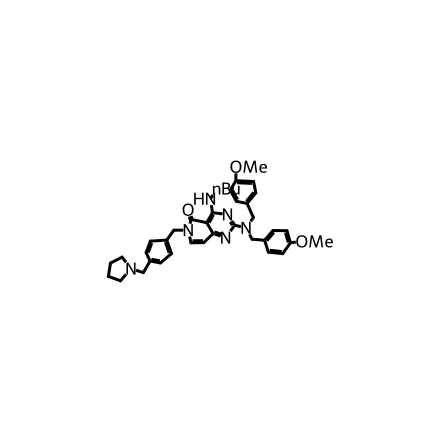 CCCCNc1nc(N(Cc2ccc(OC)cc2)Cc2ccc(OC)cc2)nc2ccn(Cc3ccc(CN4CCCC4)cc3)c(=O)c12